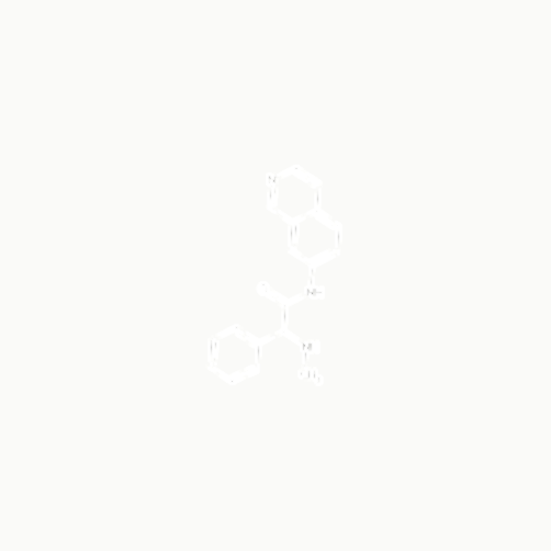 CNC(C(=O)Nc1ccc2ccncc2c1)c1ccccc1